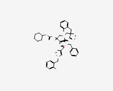 CC(CN(CC1(Cc2ccccc2F)C=NN=N1)C(=O)OCc1cn(Cc2ccccc2F)nn1)(OC(=O)NC1CCCCC1)c1cn(Cc2ccccc2)nn1